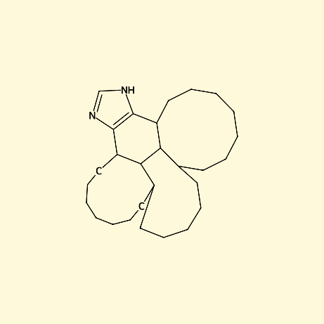 c1nc2c([nH]1)C1CCCCCCCC3CCCCCC4CCCCCCCC2C4C31